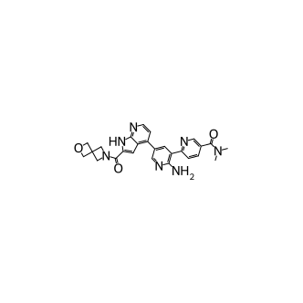 CN(C)C(=O)c1ccc(-c2cc(-c3ccnc4[nH]c(C(=O)N5CC6(COC6)C5)cc34)cnc2N)nc1